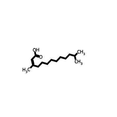 CC(=CC(=O)O)CCCCCCCCC(C)C